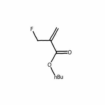 C=C(CF)C(=O)OCCCC